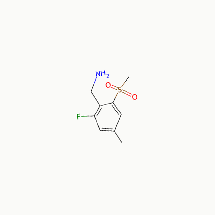 Cc1cc(F)c(CN)c(S(C)(=O)=O)c1